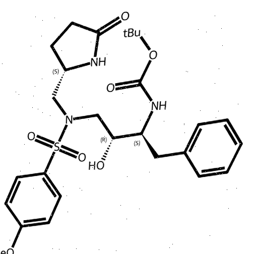 COc1ccc(S(=O)(=O)N(C[C@@H]2CCC(=O)N2)C[C@@H](O)[C@H](Cc2ccccc2)NC(=O)OC(C)(C)C)cc1